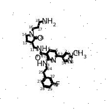 Cn1cc(-c2ccc(C(=O)NCC3CCN(CCCN)C3=O)c(NCCc3cccc(F)c3)n2)cn1